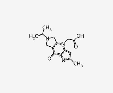 Cc1cc2n(CC(=O)O)c3c(c(=O)n2n1)CN(C(C)C)C3